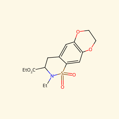 CCOC(=O)C1Cc2cc3c(cc2S(=O)(=O)N1CC)OCCO3